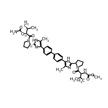 COC(=O)NC(C(=O)N1CCCC1c1nc(C)c(-c2ccc(-c3ccc(-c4nc([C@@H]5CCCN5C(=O)[C@@H](OC(N)=O)C(C)C)[nH]c4C)cc3)cc2)[nH]1)C(C)C